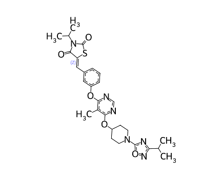 Cc1c(Oc2cccc(/C=C3\SC(=O)N(C(C)C)C3=O)c2)ncnc1OC1CCN(c2nc(C(C)C)no2)CC1